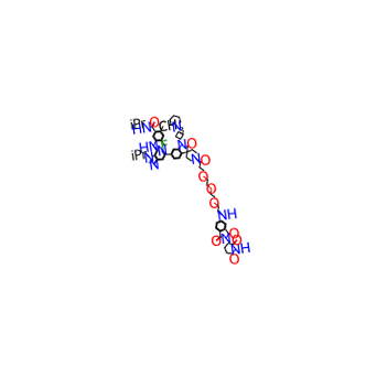 Cc1cc(F)c(Nc2nc(-c3ccc4c(c3)N(C3CC(N5CCCCC5)C3)C(=O)C43CCN(C(=O)CCOCCOCCOCCNc4ccc5c(c4)C(=O)N(C4CCC(=O)NC4=O)C5=O)CC3)cc3ncn(C(C)C)c23)cc1C(=O)NC(C)C